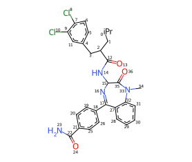 CC(C)CC(Cc1ccc(Cl)c(Cl)c1)C(=O)NC1N=C(c2ccc(C(N)=O)cc2)c2ccccc2N(C)C1=O